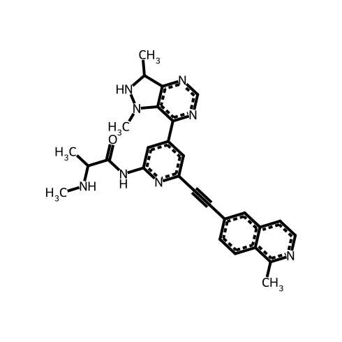 CNC(C)C(=O)Nc1cc(-c2ncnc3c2N(C)NC3C)cc(C#Cc2ccc3c(C)nccc3c2)n1